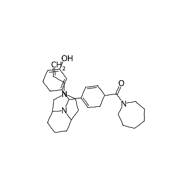 C=CCN1CCC2CCCC(C1)N2C(C1=CCC(C(=O)N2CCCCCC2)C=C1)C1=CC(O)=CCC1